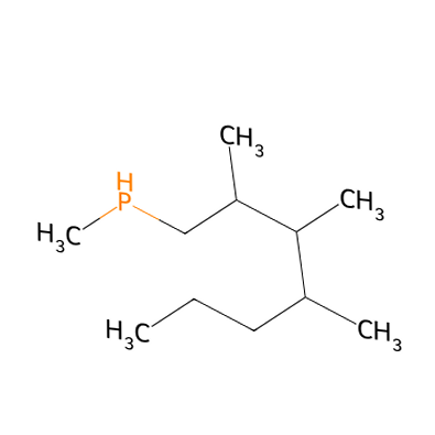 CCCC(C)C(C)C(C)CPC